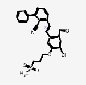 CS(=O)(=S)CCCOc1cc(/C=C/c2cccc(-c3ccccc3)c2C#N)c(C=O)cc1Cl